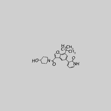 CC(C)(C)c1cc(-c2ccc[nH]c2=O)cc2c(C(=O)N3CCC(O)CC3)coc12